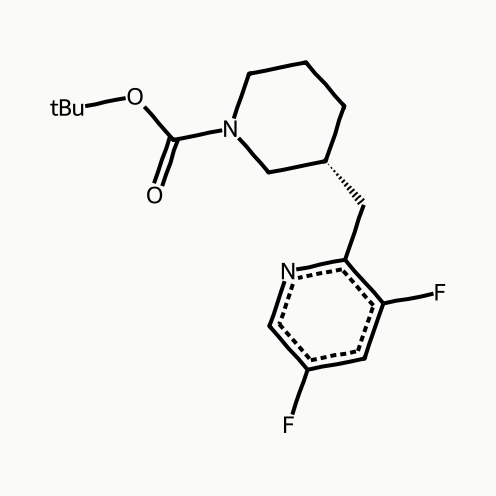 CC(C)(C)OC(=O)N1CCC[C@H](Cc2ncc(F)cc2F)C1